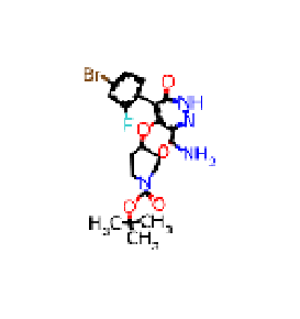 CC(C)(C)OC(=O)N1CCC(Oc2c(C(N)=O)n[nH]c(=O)c2-c2ccc(Br)cc2F)CC1